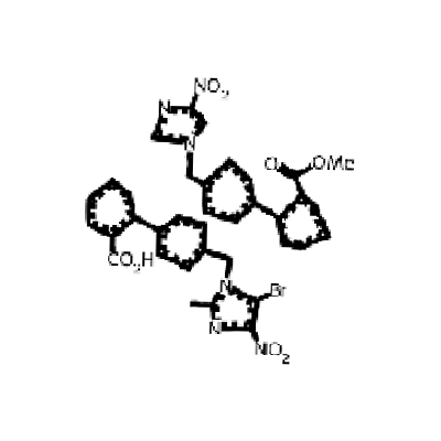 COC(=O)c1ccccc1-c1ccc(Cn2cnc([N+](=O)[O-])c2)cc1.Cc1nc([N+](=O)[O-])c(Br)n1Cc1ccc(-c2ccccc2C(=O)O)cc1